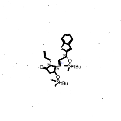 C=CC[C@H]1C(=O)CC(O[Si](C)(C)C(C)(C)C)[C@@H]1/C=C/[C@@H](O[Si](C)(C)C(C)(C)C)c1cc2ccccc2s1